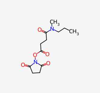 CCCN(C)C(=O)CCC(=O)ON1C(=O)CCC1=O